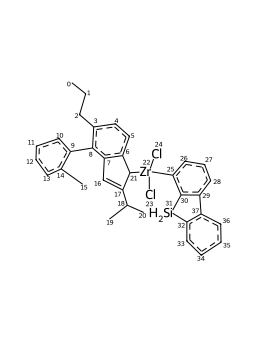 CCCc1ccc2c(c1-c1ccccc1C)C=C(C(C)C)[CH]2[Zr]([Cl])([Cl])[c]1cccc2c1[SiH2]c1ccccc1-2